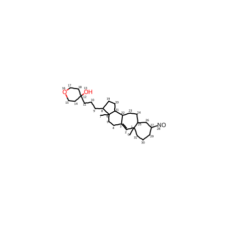 CC12C=C3CCC4(C)C(CCCC5(O)CCOCC5)CCC4C3CCC1CC(N=O)CCC2